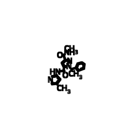 CNC(=O)c1cc(C(=O)Nc2cncc(C)c2)n(C(C)c2ccccc2)n1